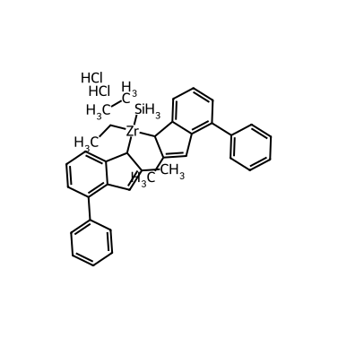 CC.C[CH2][Zr]([SiH3])([CH]1C(C)=Cc2c(-c3ccccc3)cccc21)[CH]1C(C)=Cc2c(-c3ccccc3)cccc21.Cl.Cl